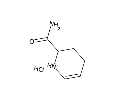 Cl.NC(=O)C1CCC=CN1